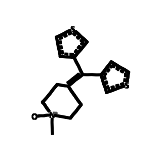 C[N+]1([O-])CCC(=C(c2ccsc2)c2ccsc2)CC1